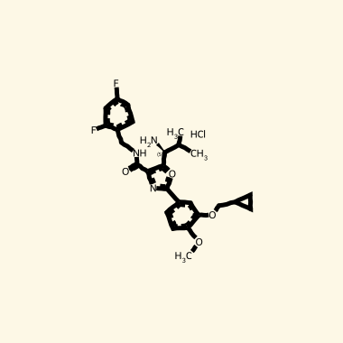 COc1ccc(-c2nc(C(=O)NCc3ccc(F)cc3F)c([C@@H](N)C(C)C)o2)cc1OCC1CC1.Cl